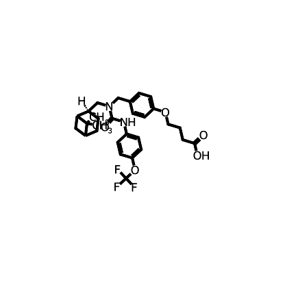 CC1(C)C2CC[C@H](CN(Cc3ccc(OCCCC(=O)O)cc3)C(=O)Nc3ccc(OC(F)(F)F)cc3)C1C2